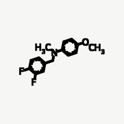 COc1ccc(N(C)Cc2ccc(F)c(F)c2)cc1